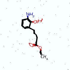 CCOC(=O)CCCc1cccc(N)c1O